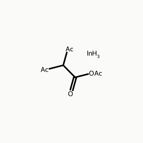 CC(=O)OC(=O)C(C(C)=O)C(C)=O.[InH3]